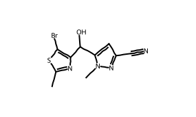 Cc1nc(C(O)c2cc(C#N)nn2C)c(Br)s1